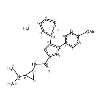 COc1ccc(-n2nc(C(=O)NC3CC3N(C)C)cc2-c2ccccc2)cn1.Cl